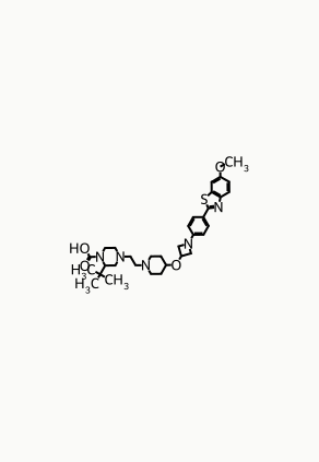 COc1ccc2nc(-c3ccc(N4CC(OC5CCN(CCN6CCN(C(=O)O)C(C(C)(C)C)C6)CC5)C4)cc3)sc2c1